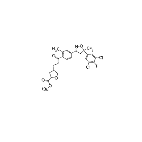 Cc1cc(C2=NOC(c3cc(Cl)c(F)c(Cl)c3)(C(F)(F)F)C2)ccc1C(=O)CCC1COC(C(=O)OC(C)(C)C)C1